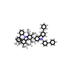 Bc1c(B)c(B)c2c(c1B)c1c(B)c(-c3ccc4c(c3)c3cc(-c5ccccc5)ccc3n4-c3cccc(-c4ccccc4)c3)c(B)c(B)c1n2-c1ccccc1-c1ccccc1